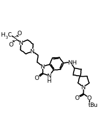 CC(C)(C)OC(=O)N1CCC2(CC(Nc3ccc4c(c3)[nH]c(=O)n4CCN3CCN(S(C)(=O)=O)CC3)C2)C1